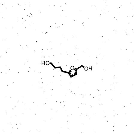 OCCCCc1ccc(CO)o1